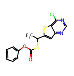 O=C(Oc1ccccc1)SC(c1cc2ncnc(Cl)c2s1)C(F)(F)F